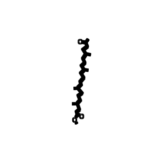 COC(=O)/C=C/C(C)=C/C=C/C(C)=C/C=C/C=C(C)/C=C/C=C(C)/C=C/C(C)=O